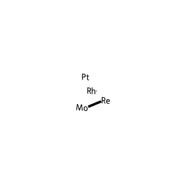 [Mo][Re].[Pt].[Rh]